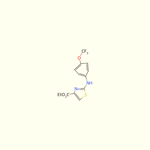 CCOC(=O)c1csc(Nc2ccc(OC(F)(F)F)cc2)n1